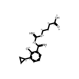 N=C(OC(=N)c1cccc(C2CC2)c1Cl)SCCCC(=O)O